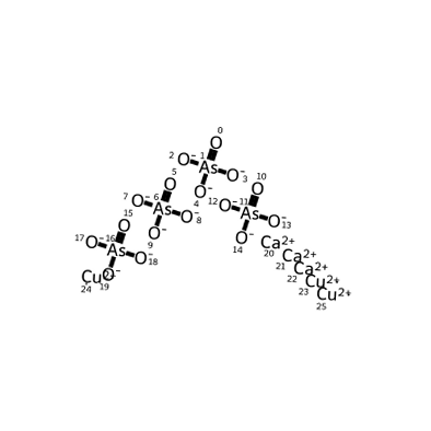 O=[As]([O-])([O-])[O-].O=[As]([O-])([O-])[O-].O=[As]([O-])([O-])[O-].O=[As]([O-])([O-])[O-].[Ca+2].[Ca+2].[Ca+2].[Cu+2].[Cu+2].[Cu+2]